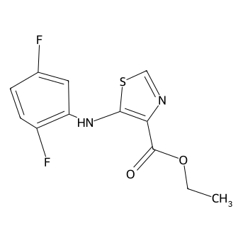 CCOC(=O)c1ncsc1Nc1cc(F)ccc1F